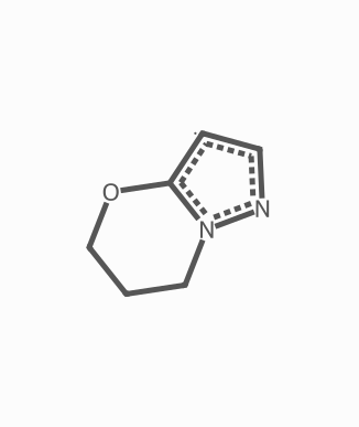 [c]1cnn2c1OCCC2